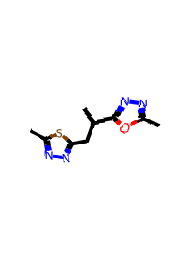 Cc1nnc(C(C)Cc2nnc(C)s2)o1